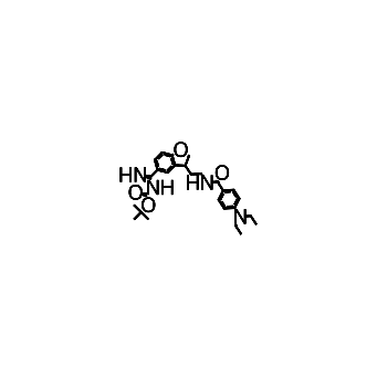 CCN(CC)c1ccc(C(=O)NCCC2COc3ccc(C(=N)NC(=O)OC(C)(C)C)cc32)cc1